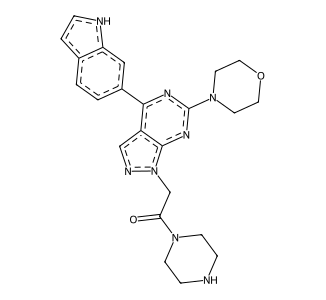 O=C(Cn1ncc2c(-c3ccc4cc[nH]c4c3)nc(N3CCOCC3)nc21)N1CCNCC1